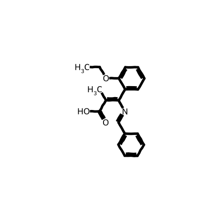 CCOc1ccccc1C(N=Cc1ccccc1)=C(C)C(=O)O